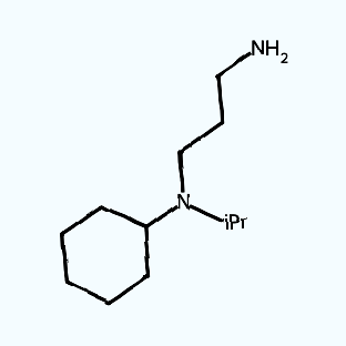 CC(C)N(CCCN)C1CCCCC1